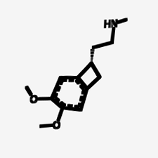 CNCC[C@@H]1Cc2cc(OC)c(OC)cc21